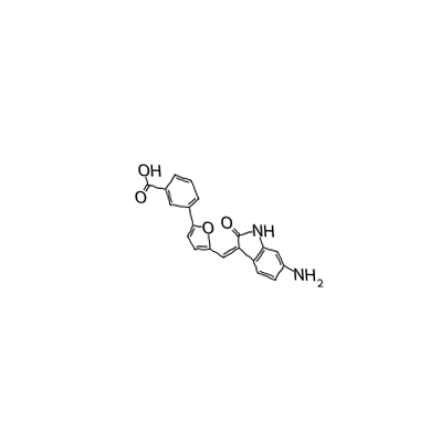 Nc1ccc2c(c1)NC(=O)C2=Cc1ccc(-c2cccc(C(=O)O)c2)o1